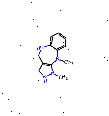 CN1NCC2=C1N(C)c1ccccc1NC2